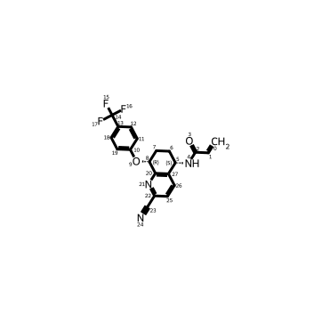 C=CC(=O)N[C@H]1CC[C@@H](Oc2ccc(C(F)(F)F)cc2)c2nc(C#N)ccc21